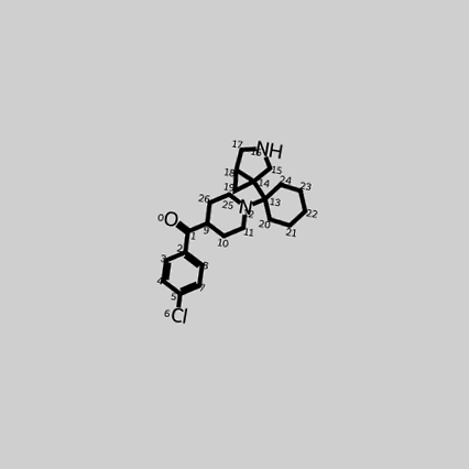 O=C(c1ccc(Cl)cc1)C1CCN(C2(C34CNCC3C4)CCCCC2)CC1